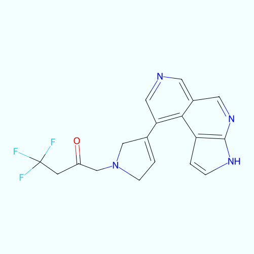 O=C(CN1CC=C(c2cncc3cnc4[nH]ccc4c23)C1)CC(F)(F)F